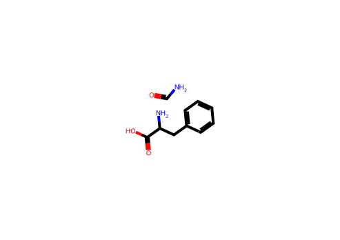 NC(Cc1ccccc1)C(=O)O.NC=O